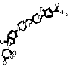 NC(=O)c1ccc(N2CCC(F)(CN3CCN(c4ccc5c(c4)CN([C@H]4CCC(=O)NC4=O)C5=O)CC3)CC2)c(F)c1